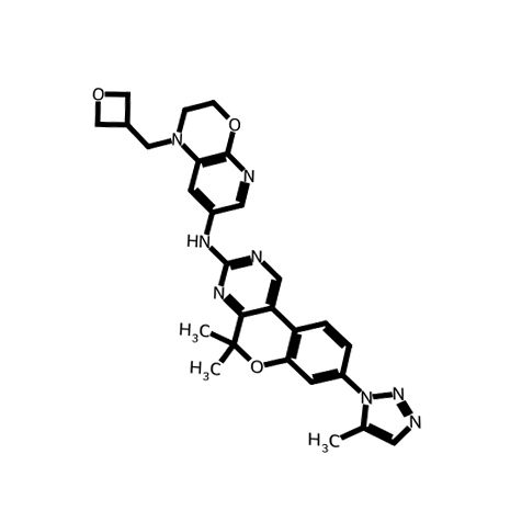 Cc1cnnn1-c1ccc2c(c1)OC(C)(C)c1nc(Nc3cnc4c(c3)N(CC3COC3)CCO4)ncc1-2